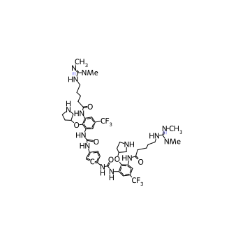 C/N=C(\NC)NCCCCC(=O)Nc1cc(C(F)(F)F)cc(NC(=O)Nc2ccc(NC(=O)Nc3cc(C(F)(F)F)cc(NC(=O)CCCCN/C(=N/C)NC)c3OC3CCNC3)cc2)c1OC1CCNC1